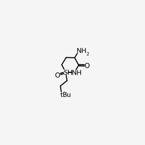 CC(C)(C)CC[SH]1(=O)CCC(N)C(=O)N1